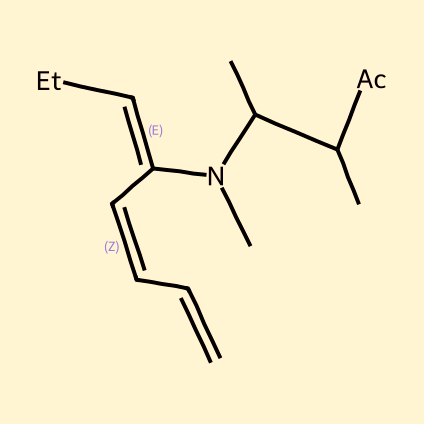 C=C/C=C\C(=C/CC)N(C)C(C)C(C)C(C)=O